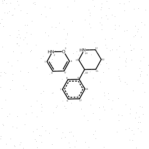 C1=CNOC=C1.c1ccc(C2CCCNC2)cc1